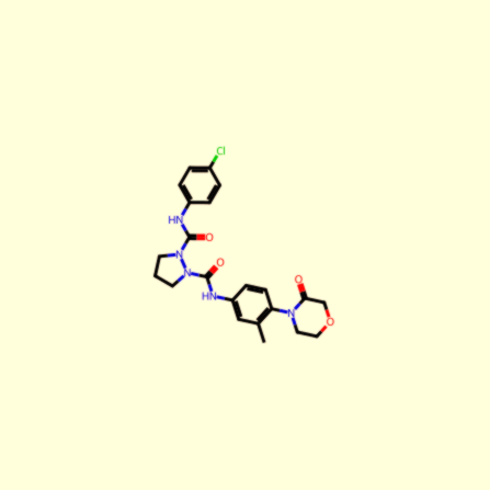 Cc1cc(NC(=O)N2CCCN2C(=O)Nc2ccc(Cl)cc2)ccc1N1CCOCC1=O